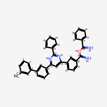 N#Cc1cccc(-c2cccc(-c3cc(-c4cccc(C(=N)OC(=N)c5ccccc5)c4)nc(-c4ccccc4)n3)c2)c1